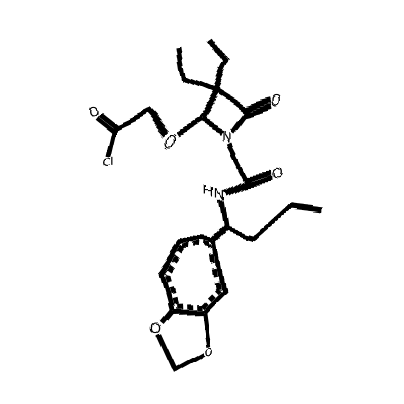 CCCC(NC(=O)N1C(=O)C(CC)(CC)C1OCC(=O)Cl)c1ccc2c(c1)OCO2